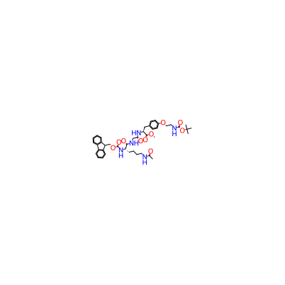 COC(=O)[C@H](Cc1ccc(OCCNC(=O)OC(C)(C)C)cc1)NC(=O)CNC(=O)[C@H](CCCCNC(C)=O)NC(=O)OCC1c2ccccc2-c2ccccc21